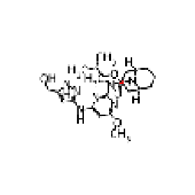 COc1cc(Nc2cc(CO)[nH]n2)nc(N(C)[C@@H]2C[C@H]3CCC[C@@H](C2)N3C(=O)OCC(C)C)n1